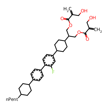 C=C(CO)C(=O)OCC(COC(=O)C(=C)CO)C1CCC(c2ccc(-c3ccc(C4CCC(CCCCC)CC4)cc3)c(F)c2)CC1